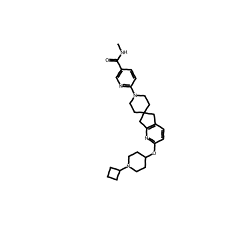 CNC(=O)c1ccc(N2CCC3(CC2)Cc2ccc(OC4CCN(C5CCC5)CC4)nc2C3)nc1